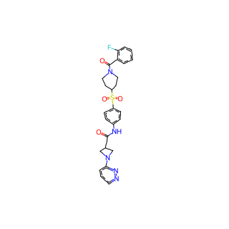 O=C(Nc1ccc(S(=O)(=O)C2CCN(C(=O)c3ccccc3F)CC2)cc1)C1CN(c2cccnn2)C1